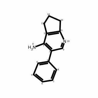 Nc1c(-c2ccccc2)cnc2c1CCC2